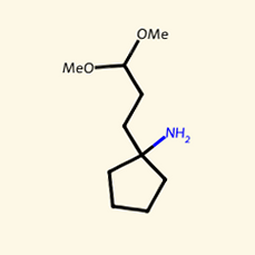 COC(CCC1(N)CCCC1)OC